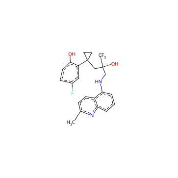 Cc1ccc2c(NCC(O)(CC3(c4cc(F)ccc4O)CC3)C(F)(F)F)cccc2n1